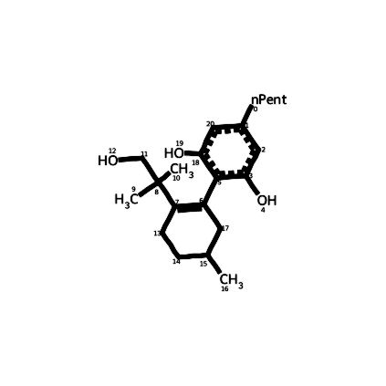 CCCCCc1cc(O)c(C2=C(C(C)(C)CO)CCC(C)C2)c(O)c1